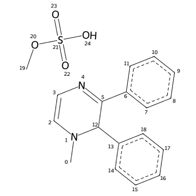 CN1C=CN=C(c2ccccc2)C1c1ccccc1.COS(=O)(=O)O